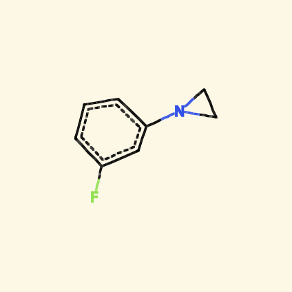 Fc1cccc(N2CC2)c1